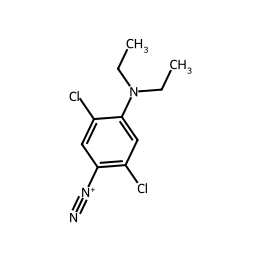 CCN(CC)c1cc(Cl)c([N+]#N)cc1Cl